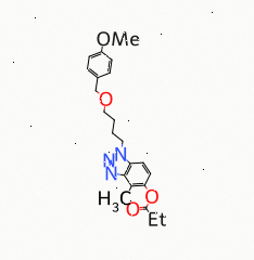 CCC(=O)Oc1ccc2c(nnn2CCCCOCc2ccc(OC)cc2)c1C